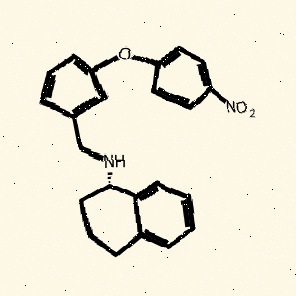 O=[N+]([O-])c1ccc(Oc2cccc(CN[C@H]3CCCc4ccccc43)c2)cc1